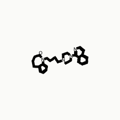 O=C1CCCc2ccccc2N1CCCCN1CCN(c2nccc3ccccc23)CC1